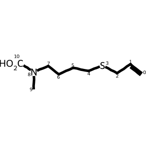 C=CCSCCCCN(C)C(=O)O